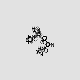 COc1c(CN2O[C@@H](CO)[C@@H]([C@H](C)O)[C@H]2C(=O)N[C@H]2C[C@@H](C)C(C)(C)[C@@H](C)[C@@H]2C)cccc1-c1cc(C(=O)N[C@H](CN(C)C)CC(C)(C)C)cc(N(C)C)c1